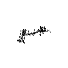 NNC(=O)CNC(=O)CCC(NC(=O)CCCCCNC(=O)CCCC(=O)NCCCCCC(=O)NC(CCC(=O)NCC(N)=O)C(=O)NCC(N)=O)C(=O)NCC(=O)NN